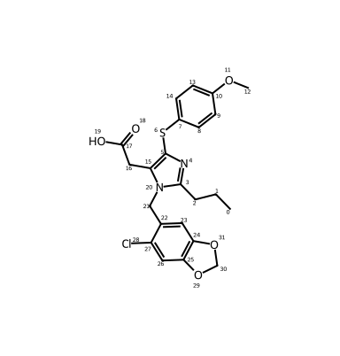 CCCc1nc(Sc2ccc(OC)cc2)c(CC(=O)O)n1Cc1cc2c(cc1Cl)OCO2